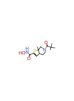 CC(C)(C)C(=O)N1CCC2C=C(C(=O)NO)SC2(C)C1